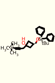 CC(C)(C)[Si](OC[C@H]1C[C@](O)(CC#C[Si](C)(C)C)C1)(c1ccccc1)c1ccccc1